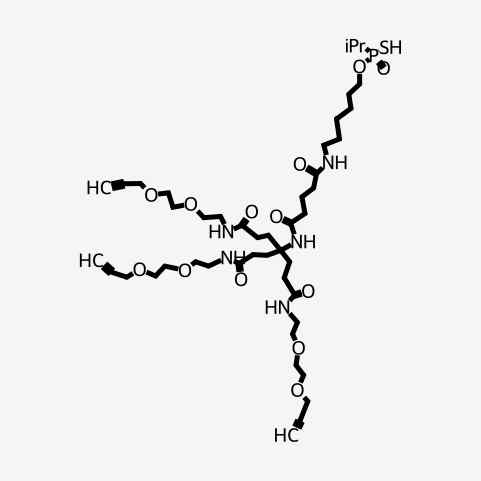 C#CCOCCOCCNC(=O)CCC(CCC(=O)NCCOCCOCC#C)(CCC(=O)NCCOCCOCC#C)NC(=O)CCCC(=O)NCCCCCCOP(=O)(S)C(C)C